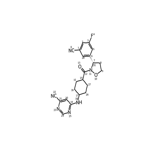 N#Cc1cc(F)cc([C@@H]2CCON2C(=O)C2CCC(Nc3cc(C#N)ncn3)CC2)c1